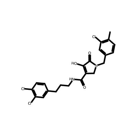 Cc1ccc(CN2CC(C(=O)NCCCc3ccc(Cl)c(Cl)c3)=C(O)C2=O)cc1Cl